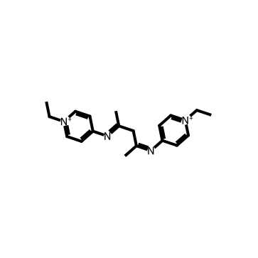 CC[n+]1ccc(N=C(C)CC(C)=Nc2cc[n+](CC)cc2)cc1